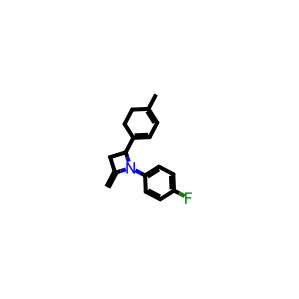 C=C1CC(C2=CC=C(C)CC2)N1c1ccc(F)cc1